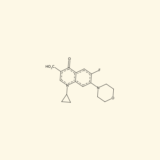 O=C(O)c1cn(C2CC2)c2cc(N3CCOCC3)c(F)cc2c1=O